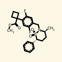 COC(=O)C1(c2cc(F)c(CN3[C@@H](C)CC[C@H](c4ccccc4)S3(=O)=O)cc2F)CCC1